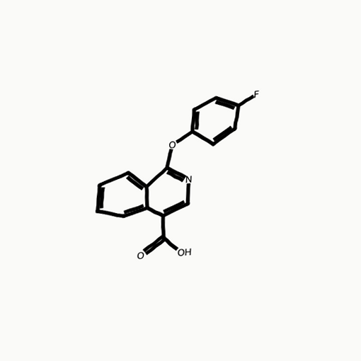 O=C(O)c1cnc(Oc2ccc(F)cc2)c2ccccc12